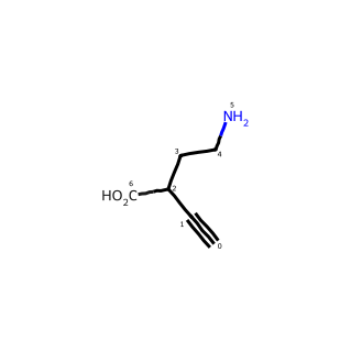 C#CC(CCN)C(=O)O